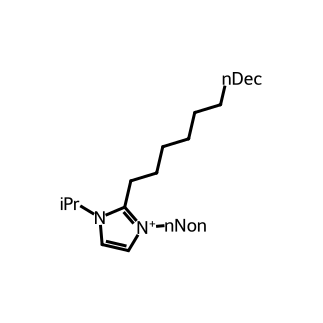 CCCCCCCCCCCCCCCCc1n(C(C)C)cc[n+]1CCCCCCCCC